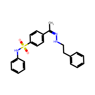 CC(=NNCCc1ccccc1)c1ccc(S(=O)(=O)Nc2ccccc2)cc1